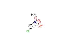 CCOC(=O)N1Cc2ccc(Cl)cc2C[C@@H]1C(=O)O